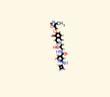 Cc1ncoc1COc1ccc2c(c1I)CCN(CC(O)CNC(=O)c1ccnc(NC3CCC3)c1)C2